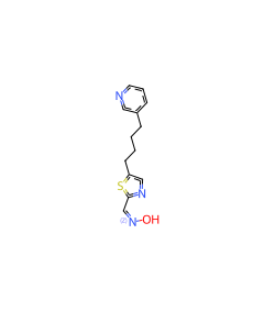 O/N=C\c1ncc(CCCCc2cccnc2)s1